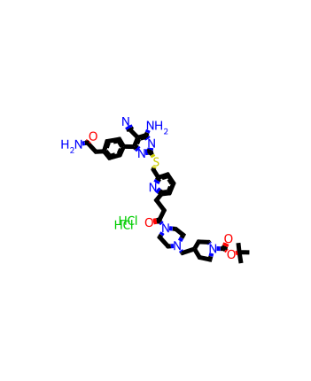 CC(C)(C)OC(=O)N1CCC(CN2CCN(C(=O)CCc3cccc(CSc4nc(N)c(C#N)c(-c5ccc(CC(N)=O)cc5)n4)n3)CC2)CC1.Cl.Cl